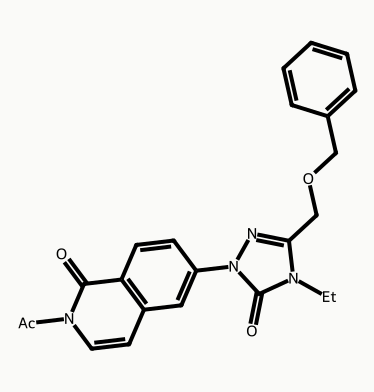 CCn1c(COCc2ccccc2)nn(-c2ccc3c(=O)n(C(C)=O)ccc3c2)c1=O